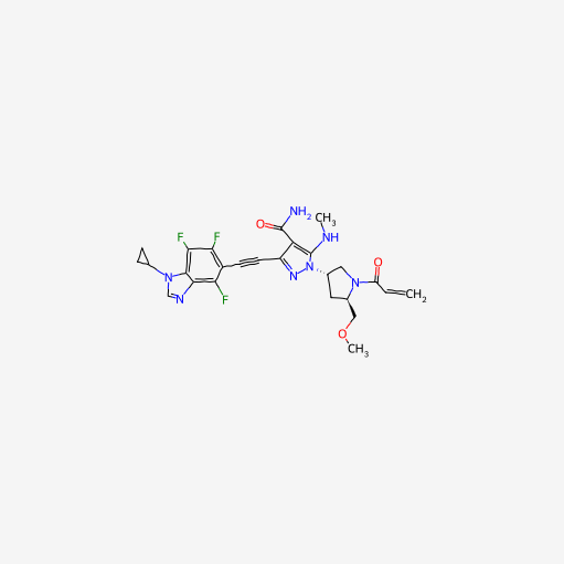 C=CC(=O)N1C[C@@H](n2nc(C#Cc3c(F)c(F)c4c(ncn4C4CC4)c3F)c(C(N)=O)c2NC)C[C@@H]1COC